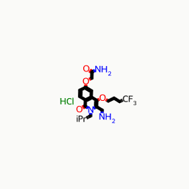 CC(C)Cn1c(CN)c(OCCCC(F)(F)F)c2cc(OCC(N)=O)ccc2c1=O.Cl